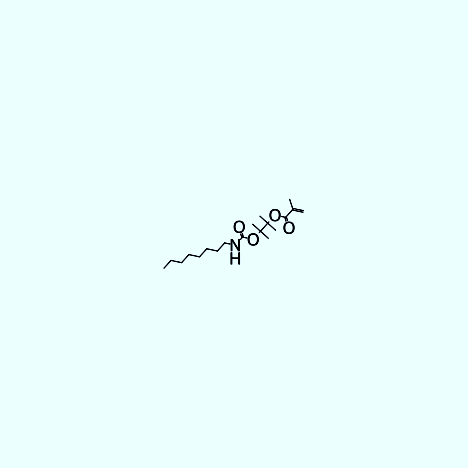 C=C(C)C(=O)OC(C)(C)C(C)(C)OC(=O)NCCCCCCCC